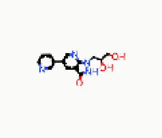 O=c1[nH]n(CC(O)CO)c2ncc(-c3cccnc3)cc12